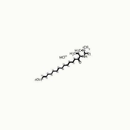 C=CC(NC(CC)N(C)C)C(=O)CCCCCCCCCCCC=CCCCCCCCC.Cl